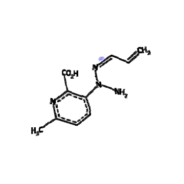 C=C/C=N\N(N)c1ccc(C)nc1C(=O)O